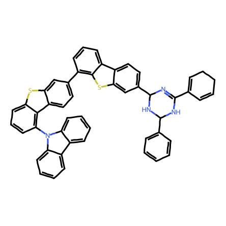 C1=CC(C2=NC(c3ccc4c(c3)sc3c(-c5ccc6c(c5)sc5cccc(-n7c8ccccc8c8ccccc87)c56)cccc34)NC(c3ccccc3)N2)=CCC1